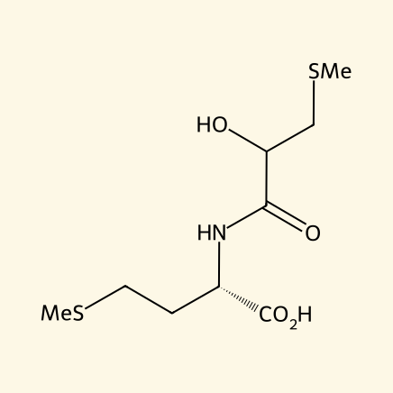 CSCC[C@H](NC(=O)C(O)CSC)C(=O)O